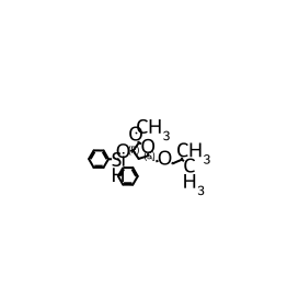 COC1O[C@H](COCC(C)C)C[C@H]1O[SiH](c1ccccc1)c1ccccc1